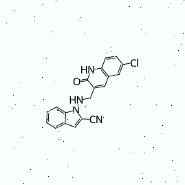 N#Cc1cc2ccccc2n1NCc1cc2cc(Cl)ccc2[nH]c1=O